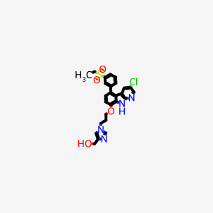 CCS(=O)(=O)c1cccc(-c2ccc(OCCCn3cnc(CO)c3)c3[nH]c4ncc(Cl)cc4c23)c1